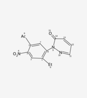 CCc1cc([N+](=O)[O-])c(C(C)=O)cc1-n1ncccc1=O